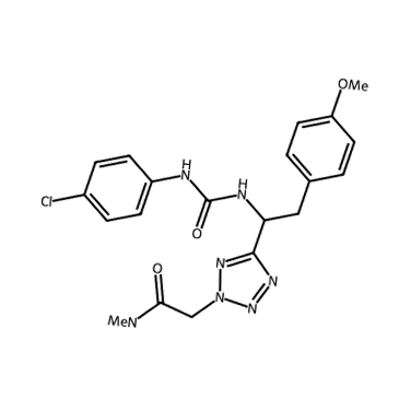 CNC(=O)Cn1nnc(C(Cc2ccc(OC)cc2)NC(=O)Nc2ccc(Cl)cc2)n1